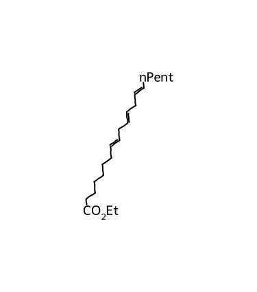 CCCCCC=CCC=CCC=CCCCCCCC(=O)OCC